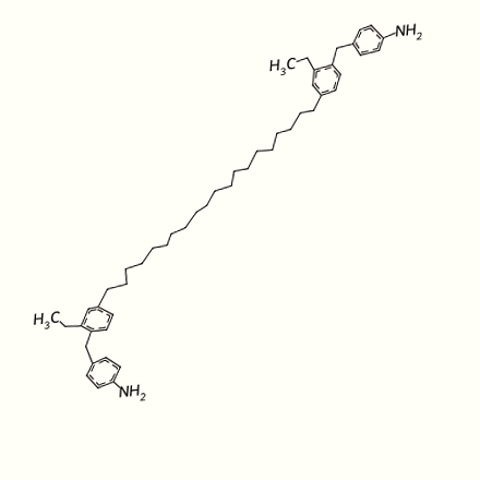 CCc1cc(CCCCCCCCCCCCCCCCCCCCc2ccc(Cc3ccc(N)cc3)c(CC)c2)ccc1Cc1ccc(N)cc1